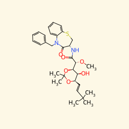 CO[C@@H](C(=O)N[C@H]1CSc2ccccc2N(Cc2ccccc2)C1=O)[C@@H]1OC(C)(C)O[C@H](/C=C/C(C)(C)C)[C@@H]1O